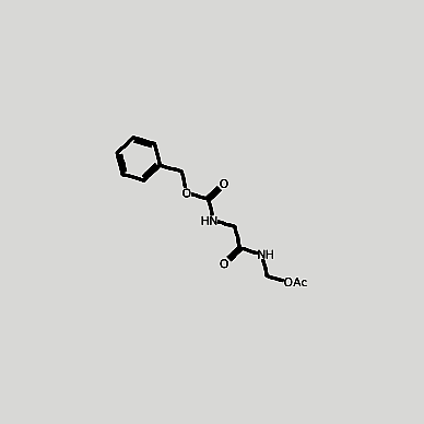 CC(=O)OCNC(=O)CNC(=O)OCc1ccccc1